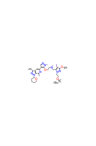 C=Cc1nn(C2CCCCO2)c2c(C)nc(-c3cnn(C)c3O[C@@H](C)CN(C)Cc3c(I)c(OC(C)C)nn3CCO[Si](C)(C)C(C)(C)C)cc12